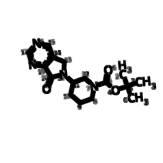 CC(C)(C)OC(=O)N1CCCC(N2Cc3cncnc3C2=O)C1